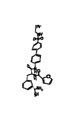 CC(C)CNS(=O)(=O)c1ccc(-c2ccc(NC(=O)C(Cc3cccc(C(=N)N)c3)NC(=O)c3ccco3)cc2)cc1